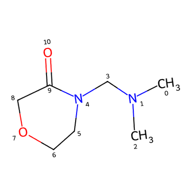 CN(C)CN1CCOCC1=O